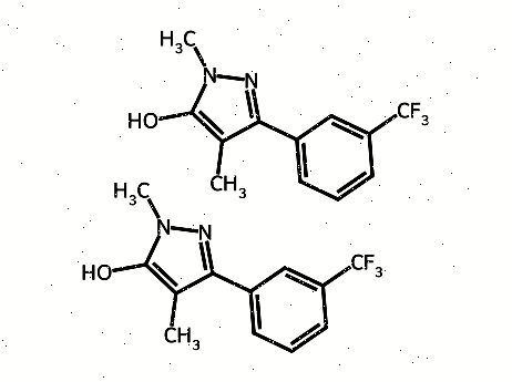 Cc1c(-c2cccc(C(F)(F)F)c2)nn(C)c1O.Cc1c(-c2cccc(C(F)(F)F)c2)nn(C)c1O